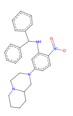 O=[N+]([O-])c1ccc(N2CCN3CCCCC3C2)cc1NC(c1ccccc1)c1ccccc1